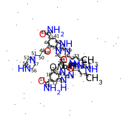 CCN/C(=C\C(C)=N)C(=O)/N=c1/[nH]c2cc(C(N)=O)cc(OC)c2n1C/C=C/Cn1/c(=N\C(=O)c2cc(C)nn2CC)[nH]c2cc(C(N)=O)cc(OCCCN3CCNCC3)c21